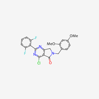 COc1ccc(CN2Cc3nc(-c4c(F)cccc4F)nc(Cl)c3C2=O)c(OC)c1